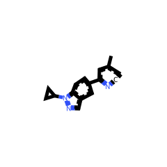 Cc1ccnc(-c2ccc3c(cnn3C3CC3)c2)c1